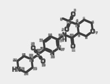 CS(=O)(=O)N1CCOCC1C(=O)Nc1ccc(S(=O)(=O)N2CCNCC2)nn1